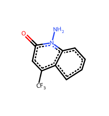 Nn1c(=O)cc(C(F)(F)F)c2ccccc21